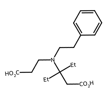 CCC(CC)(CC(=O)O)N(CCC(=O)O)CCc1ccccc1